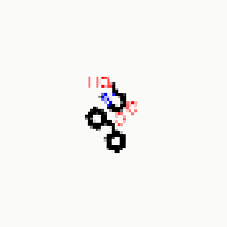 CN1C=C(OC(c2ccccc2)c2ccccc2)C(=O)CC1CO